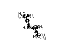 C=CCN(/C=C(/N)C(=C)C)C1CCN(CCC(=C)CN/C(=C/N(CC=C)C2CN(C(=O)OC(C)(C)C)C2)C(=C)C)CC1